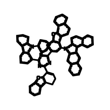 C1=C(c2nc(-c3cc(-n4c5cc6ccccc6cc5c5c6ccccc6ccc54)c4c(c3)oc3c5ccccc5ccc34)nc(-c3cccc4c5ccccc5n(-c5ccccc5)c34)n2)c2oc3ccccc3c2CC1